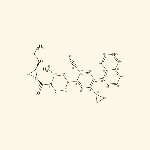 CCO[C@@H]1C[C@@H]1C(=O)N1CCN(c2nc(C3CC3)c(-c3cccc4cnccc34)cc2C#N)C[C@H]1C